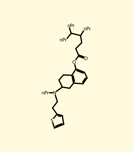 CCCC(CCC)C(CCC)CCC(=O)Oc1cccc2c1CCC(N(CCC)CCc1cccs1)C2